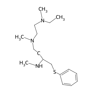 CCN(C)CCN(C)CCC(CSc1ccccc1)NC